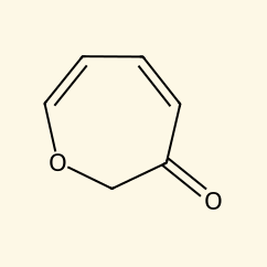 O=C1C=CC=COC1